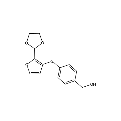 OCc1ccc(Sc2ccoc2C2OCCO2)cc1